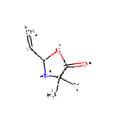 C=CC1NC(C)(CC)C(=O)O1